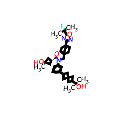 CC(C)(F)c1nc(C23CCC(CN(c4cccc(C5=CC6(C5)CC(C(C)(C)O)C6)c4)C(=O)[C@H]4C[C@@](C)(O)C4)(CC2)CC3)no1